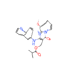 COc1cccn2c(=O)c(COC(=O)C(C)C)c(Nc3ccc4ncccc4c3)nc12